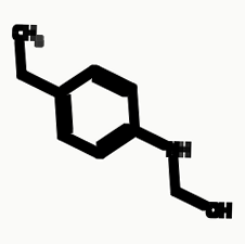 CCc1ccc(NCO)cc1